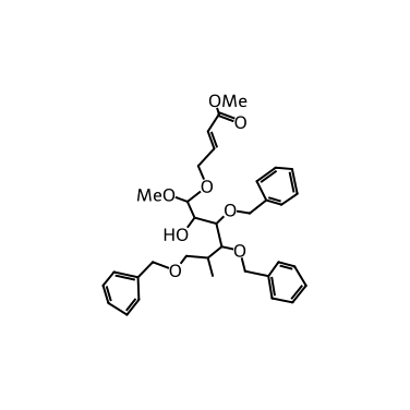 COC(=O)/C=C/COC(OC)C(O)C(OCc1ccccc1)C(OCc1ccccc1)C(C)COCc1ccccc1